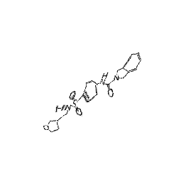 O=C(Nc1ccc(S(=O)(=O)NCC2CCOC2)cc1)N1Cc2ccccc2C1